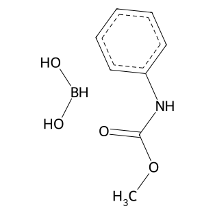 COC(=O)Nc1ccccc1.OBO